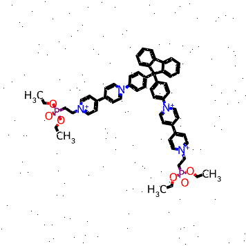 CCOP(=O)(CC[n+]1ccc(-c2cc[n+](-c3ccc(C4(c5ccc(-[n+]6ccc(-c7cc[n+](CCP(=O)(OCC)OCC)cc7)cc6)cc5)c5ccccc5-c5ccccc54)cc3)cc2)cc1)OCC